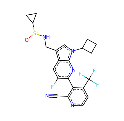 N#Cc1nccc(C(F)(F)F)c1-c1nc2c(cc1F)c(CN[S+]([O-])C1CC1)cn2C1CCC1